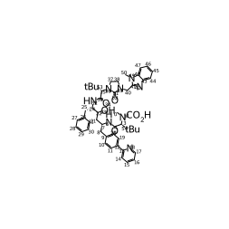 CN(C(=O)O)[C@H](C(=O)N[C@@H](Cc1ccc(-c2ccccn2)cc1)C[C@H](O)[C@H](Cc1ccccc1)NC(=O)[C@@H](N1CCN(Cc2nc3ccccc3n2C)C1=O)C(C)(C)C)C(C)(C)C